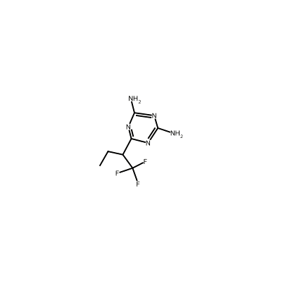 CCC(c1nc(N)nc(N)n1)C(F)(F)F